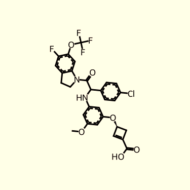 COc1cc(NC(C(=O)N2CCc3cc(F)c(OC(F)(F)F)cc32)c2ccc(Cl)cc2)cc(O[C@@H]2C=C(C(=O)O)C2)c1